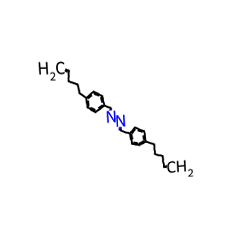 C=CCCCc1ccc(C=NN=Cc2ccc(CCCC=C)cc2)cc1